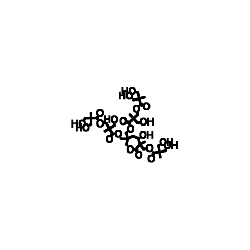 CC(CO)(CO)C(=O)OCC(C)(CO)C(=O)OCC1(COC(=O)C(C)(CO)COC(=O)C(C)(CO)CO)COC(=O)C(C)(COC(=O)C(C)(CO)CO)C(O)C1